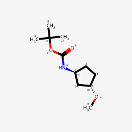 CO[C@H]1CC[C@H](NC(=O)OC(C)(C)C)C1